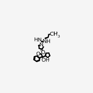 CCCCNC(=N)N1CC[C@@H](OC(=O)[C@](O)(c2ccccc2)C2CCCC2)C1